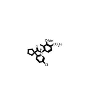 COc1c(C(=O)O)ccc(NC(=O)C2(c3ccc(Cl)cn3)CCCC2)c1C